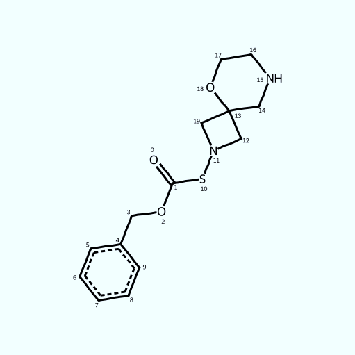 O=C(OCc1ccccc1)SN1CC2(CNCCO2)C1